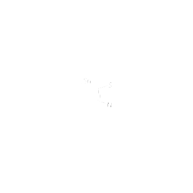 [Sn][c]1cncs1